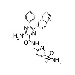 Nc1nc(-c2ccccc2)c(-c2ccc3ncccc3c2)nc1C(=O)NCc1ccc(S(N)(=O)=O)cn1